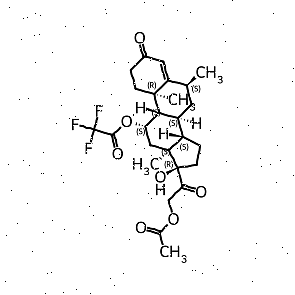 CC(=O)OCC(=O)[C@@]1(O)CC[C@H]2[C@@H]3C[C@H](C)C4=CC(=O)CC[C@]4(C)[C@H]3[C@@H](OC(=O)C(F)(F)F)C[C@@]21C